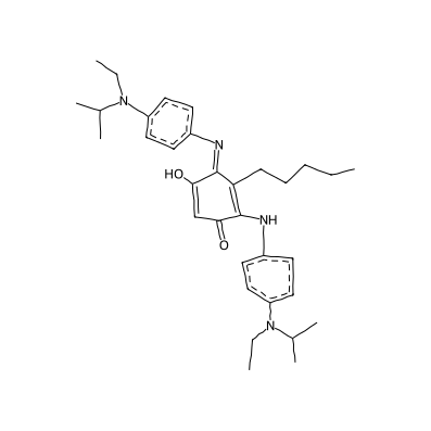 CCCCCC1=C(Nc2ccc(N(CC)C(C)C)cc2)C(=O)C=C(O)/C1=N\c1ccc(N(CC)C(C)C)cc1